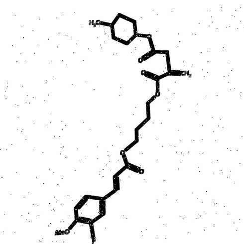 C=C(CC(=O)OC1CCC(C)CC1)C(=O)OCCCCOC(=O)/C=C/c1ccc(OC)c(F)c1